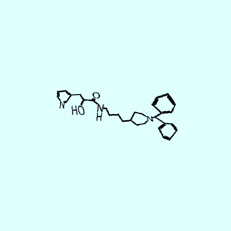 O=C(NCCCCC1CCN(C(c2ccccc2)c2ccccc2)CC1)C(O)Cc1cccnc1